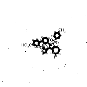 Cc1ccc(S(=O)(=O)n2c(-c3cccc(-c4ccc(C(=O)O)cc4Cl)c3)c(-c3ccsc3C#N)c3c2=CC=CC(F)C=3)cc1